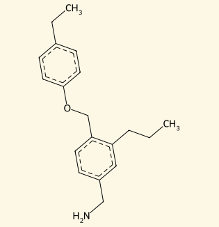 CCCc1cc(CN)ccc1COc1ccc(CC)cc1